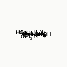 CC(C)(C)[C@H](NC(=O)[C@H]1CC[C@H](N2CCC(c3cnc(C45CC6CN(c7cc(-c8ccccc8O)nnc7N)CC(C4)N65)nc3)CC2)CC1)C(=O)N1C[C@@H](O)C[C@H]1C(N)=O